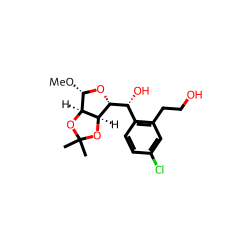 CO[C@@H]1O[C@H]([C@H](O)c2ccc(Cl)cc2CCO)[C@H]2OC(C)(C)O[C@@H]12